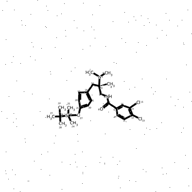 CN(C)[C@](C)(CNC(=O)c1ccc(Cl)c(Cl)c1)Cc1ccc(O[Si](C)(C)C(C)(C)C)cc1